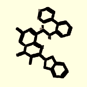 Cc1cc([C@H](C)Nc2ccccc2-c2ccnnc2)c2nc(N3Cc4ccccc4C3)c(C)c(=O)n2c1